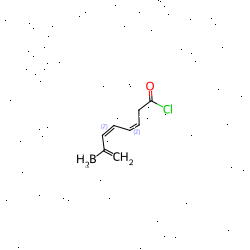 BC(=C)/C=C\C=C/CC(=O)Cl